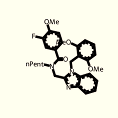 CCCCCN(Cc1nc2ccccc2n1Cc1c(OC)cccc1OC)C(=O)c1ccc(OC)c(F)c1